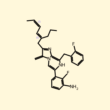 C=c1c(C/C(=C/C=C\C)CCC)nc2n1C=C(c1cccc(N)c1F)NC=2Cc1ccccc1F